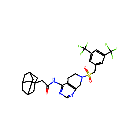 O=C(CC12CC3CC(CC(C3)C1)C2)Nc1ncnc2c1CCN(S(=O)(=O)Cc1cc(C(F)(F)F)cc(C(F)(F)F)c1)C2